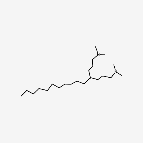 CCCCCCCCCCC[C](CCCN(C)C)CCCN(C)C